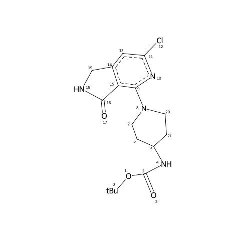 CC(C)(C)OC(=O)NC1CCN(c2nc(Cl)cc3c2C(=O)NC3)CC1